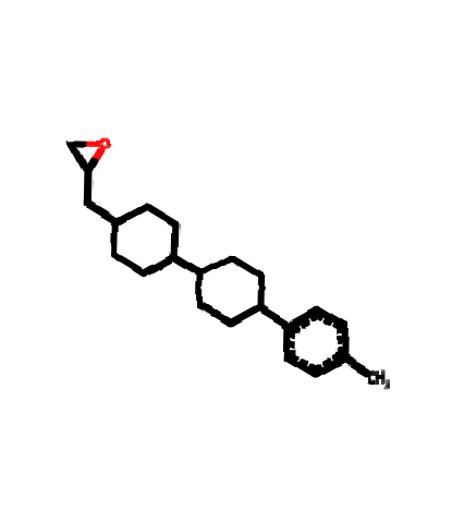 Cc1ccc(C2CCC(C3CCC(CC4CO4)CC3)CC2)cc1